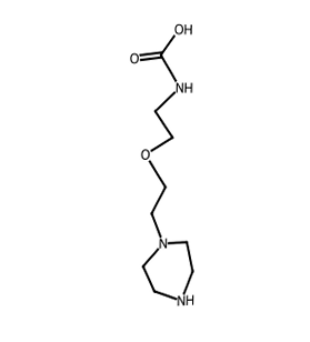 O=C(O)NCCOCCN1CCNCC1